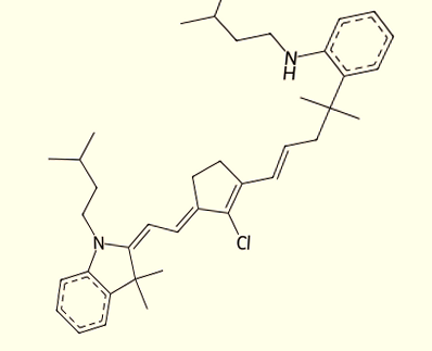 CC(C)CCNc1ccccc1C(C)(C)C/C=C/C1=C(Cl)C(=C/C=C2/N(CCC(C)C)c3ccccc3C2(C)C)/CC1